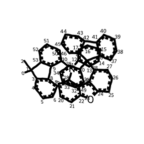 CC1(C)c2ccccc2-c2c(N(c3ccccc3)c3cccc4oc5cccc(C6(c7ccccc7)c7ccccc7-c7ccccc76)c5c34)cccc21